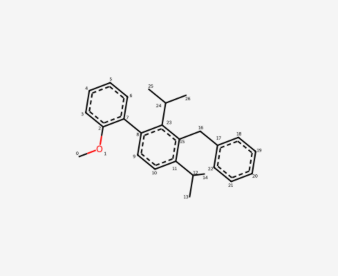 COc1ccccc1-c1ccc(C(C)C)c(Cc2ccccc2)c1C(C)C